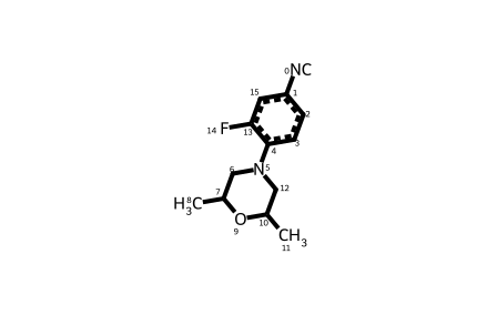 [C-]#[N+]c1ccc(N2CC(C)OC(C)C2)c(F)c1